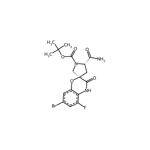 CC(C)(C)OC(=O)N1C[C@@]2(C[C@H]1C(N)=O)Oc1cc(Br)cc(F)c1NC2=O